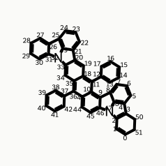 C1=Cc2c(c3cccc4c5c6c(-c7ccccc7)c7cc8c9cccc%10c%11ccccc%11n(c8cc7c(-c7ccccc7)c6ccc5n2c34)c%109)CC1